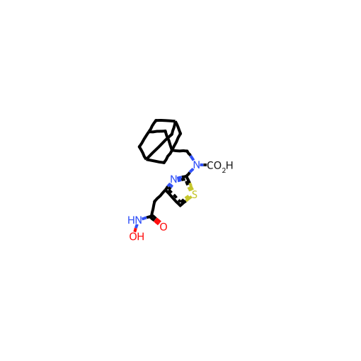 O=C(Cc1csc(N(CC23CC4CC(CC(C4)C2)C3)C(=O)O)n1)NO